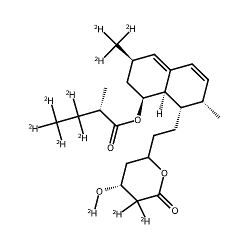 [2H]O[C@@H]1CC(CC[C@@H]2[C@@H]3C(=C[C@H](C([2H])([2H])[2H])C[C@@H]3OC(=O)[C@@H](C)C([2H])([2H])C([2H])([2H])[2H])C=C[C@@H]2C)OC(=O)C1([2H])[2H]